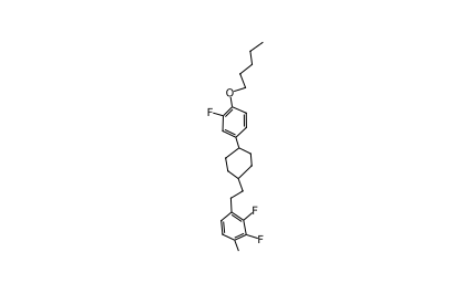 CCCCCOc1ccc(C2CCC(CCc3ccc(C)c(F)c3F)CC2)cc1F